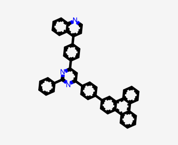 c1ccc(-c2nc(-c3ccc(-c4ccc5c6ccccc6c6ccccc6c5c4)cc3)cc(-c3ccc(-c4ccnc5ccccc45)cc3)n2)cc1